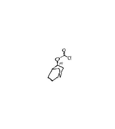 O=C(Cl)O[C@H]1CN2CCC1C2